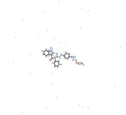 COCCNc1ccc(CCNC(C(=O)c2c[nH]c3ccccc23)c2ccccc2)cn1